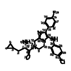 N[C@@H](CC1CC1)C(=O)N1CCn2c(nc(-c3ccc(F)cc3)c2Nc2ccc(Cl)cc2)C1